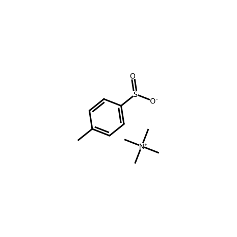 C[N+](C)(C)C.Cc1ccc(S(=O)[O-])cc1